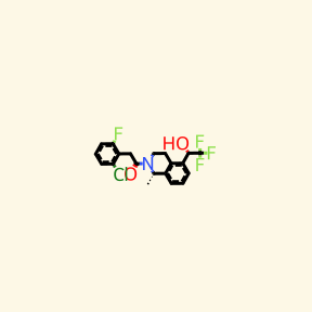 C[C@H]1c2cccc(C(O)C(F)(F)F)c2CCN1C(=O)Cc1c(F)cccc1Cl